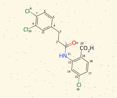 O=C(CCc1ccc(Cl)c(Cl)c1)Nc1cc(Cl)ccc1C(=O)O